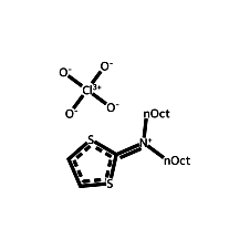 CCCCCCCC[N+](CCCCCCCC)=c1sccs1.[O-][Cl+3]([O-])([O-])[O-]